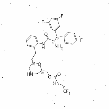 N[C@H](C(=O)Nc1ccccc1CC[C@@H]1CNC[C@@H](COC(=O)NCC(F)(F)F)O1)[C@@H](c1ccc(F)cc1)c1cc(F)cc(F)c1